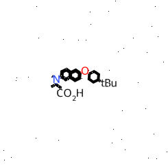 CC(CC(=O)O)N(C)c1ccc2cc(OC3CCC(C(C)(C)C)CC3)ccc2c1